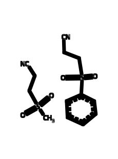 CS(=O)(=O)CCC#N.N#CCCS(=O)(=O)c1ccccc1